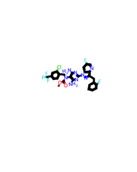 COC(=O)N(Cc1ccc(C(F)(F)F)cc1Cl)c1c(N)nc(-n2nc(Cc3ccccc3F)c3ncc(F)cc32)nc1N